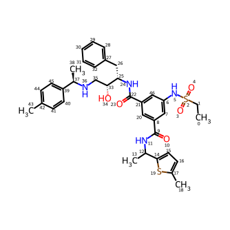 CCS(=O)(=O)Nc1cc(C(=O)NC(C)c2ccc(C)s2)cc(C(=O)N[C@@H](Cc2ccccc2)[C@H](O)CN[C@H](C)c2ccc(C)cc2)c1